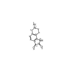 CC(=O)N1CCc2c(ccc3c2NC(=O)C3=O)C1